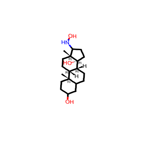 C[C@]12CCC(O)CC1CC[C@@H]1[C@H]2CC[C@]2(C)C(NO)CC[C@@]12O